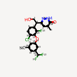 Cc1cc(C(CO)c2ccc(Cl)c(Oc3cc(C#N)cc(C(F)F)c3)c2F)n[nH]c1=O